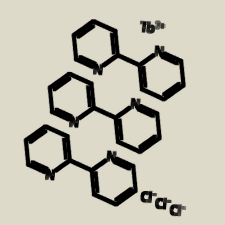 [Cl-].[Cl-].[Cl-].[Tb+3].c1ccc(-c2ccccn2)nc1.c1ccc(-c2ccccn2)nc1.c1ccc(-c2ccccn2)nc1